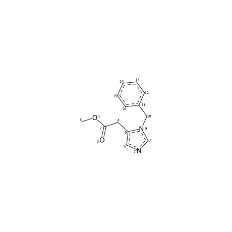 COC(=O)Cc1cncn1Cc1ccccc1